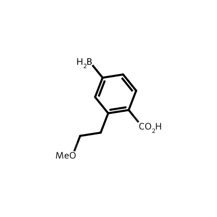 Bc1ccc(C(=O)O)c(CCOC)c1